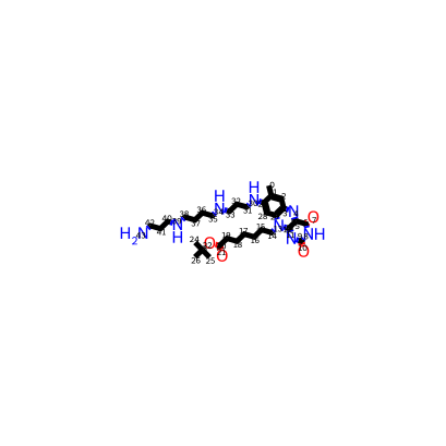 Cc1cc2nc3c(=O)[nH]c(=O)nc-3n(CCCCCCC(=O)OC(C)(C)C)c2cc1NCCCNCCCCNCCCN